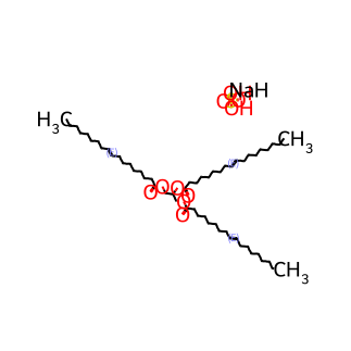 CCCCCCCC/C=C/CCCCCCCC(=O)OCC(COC(=O)CCCCCCC/C=C/CCCCCCCC)OC(=O)CCCCCCC/C=C/CCCCCCCC.O=S(=O)(O)O.[NaH]